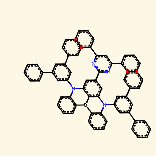 c1ccc(-c2cc(-c3ccccc3)cc(N3c4ccccc4B4c5ccccc5N(c5cc(-c6ccccc6)cc(-c6ccccc6)c5)c5cc(-c6nc(-c7ccccc7)cc(-c7ccccc7)n6)cc3c54)c2)cc1